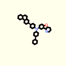 c1ccc(-c2ccc(N(c3ccc(-c4ccc5c(ccc6ccccc65)c4)cc3)c3ccc4oc5cccnc5c4c3)cc2)cc1